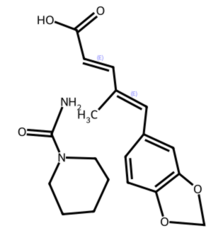 CC(/C=C/C(=O)O)=C\c1ccc2c(c1)OCO2.NC(=O)N1CCCCC1